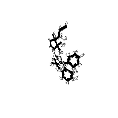 C=C[C@H](C)[C@@]1(C)CC[C@@H](CO[Si](c2ccccc2)(c2ccccc2)C(C)(C)C)C1(C)C